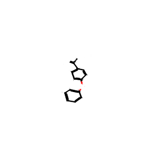 C=C(C(=O)O)c1ccc(Oc2ccccc2)cc1